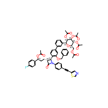 CC(=O)OC[C@H]1O[C@@H](c2cccc(-c3ccc([C@@H]4[C@@H](CC[C@H](OC(C)=O)c5ccc(F)cc5)C(=O)N4c4ccc(C#Cc5cncs5)cc4)c(OCc4ccccc4)c3)c2)[C@H](OC(C)=O)[C@@H](OC(C)=O)[C@@H]1OC(C)=O